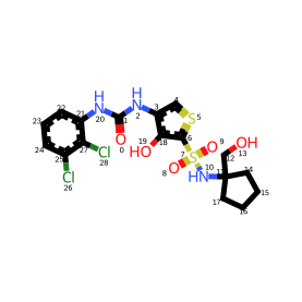 O=C(Nc1csc(S(=O)(=O)NC2(CO)CCCC2)c1O)Nc1cccc(Cl)c1Cl